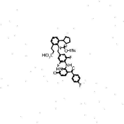 CC(C)(C)OC(=O)N(Cc1cc(F)c(Nc2[nH]c(=O)ccc2C(=O)c2ccc(F)cc2)c(F)c1)c1c(CCC(=O)O)cccc1C1CCCC1